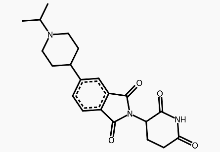 CC(C)N1CCC(c2ccc3c(c2)C(=O)N(C2CCC(=O)NC2=O)C3=O)CC1